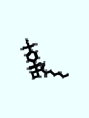 CCSCCNC(=O)C1(S(=O)(=O)c2ccc(C(F)(F)F)cc2)CCC1